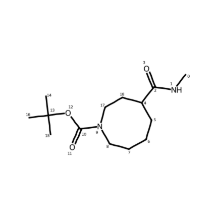 CNC(=O)C1CCCCN(C(=O)OC(C)(C)C)CC1